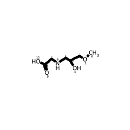 COCC(O)CNCC(=O)O